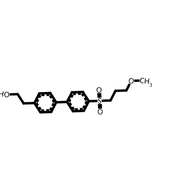 COCCCS(=O)(=O)c1ccc(-c2ccc(CCO)cc2)cc1